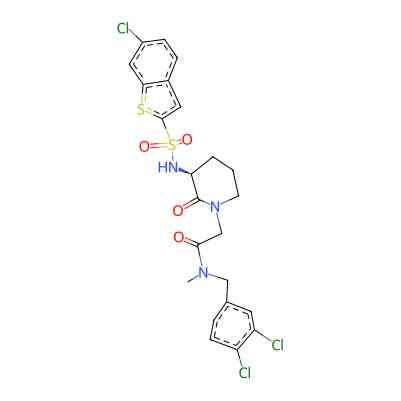 CN(Cc1ccc(Cl)c(Cl)c1)C(=O)CN1CCC[C@H](NS(=O)(=O)c2cc3ccc(Cl)cc3s2)C1=O